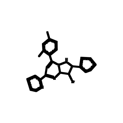 Cc1ccc(C2=CC(c3ccccn3)=NC3C(Br)C(c4ccccc4)NN23)c(C)c1